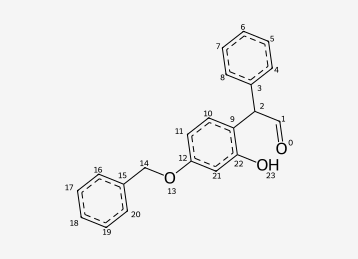 O=CC(c1ccccc1)c1ccc(OCc2ccccc2)cc1O